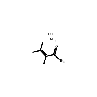 CC(C)=C(C)C(N)=O.Cl.N